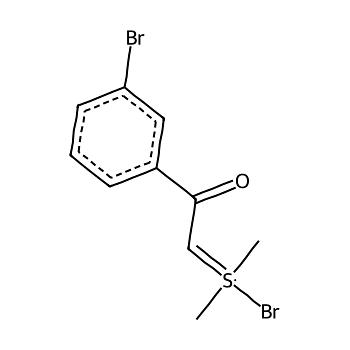 C[S](C)(Br)=CC(=O)c1cccc(Br)c1